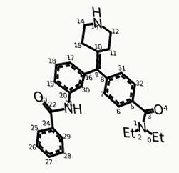 CCN(CC)C(=O)c1ccc(C(=C2CCNCC2)c2cccc(NC(=O)c3ccccc3)c2)cc1